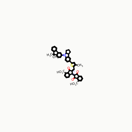 Cc1cc(-c2ccc3c(c2)C2CCCC2N3c2ccc3c(c2)-c2ccccc2C3(C)C)sc1/C=C1\C(=O)c2c(C(=O)O)cccc2\C1=C1\C(=O)c2cccc(C(=O)O)c2C1=O